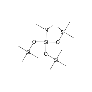 CN(C)[Si](O[Si](C)(C)C)(O[Si](C)(C)C)O[Si](C)(C)C